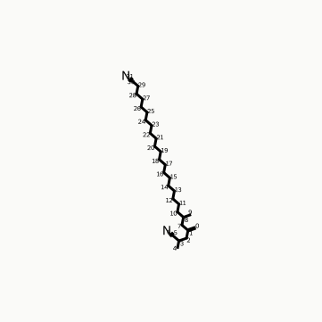 C=C(CC(C)C#N)CC(C)CCCCCCCCCCCCCCCCCCCCC#N